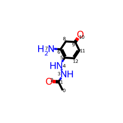 CC(=O)NNC1=C(N)CC(=O)C=C1